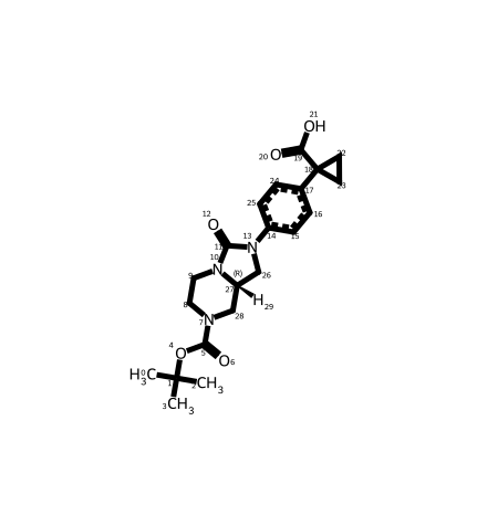 CC(C)(C)OC(=O)N1CCN2C(=O)N(c3ccc(C4(C(=O)O)CC4)cc3)C[C@@H]2C1